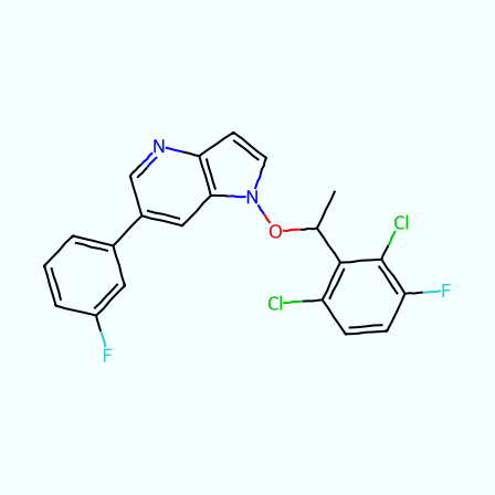 CC(On1ccc2ncc(-c3cccc(F)c3)cc21)c1c(Cl)ccc(F)c1Cl